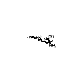 C[C@@](N)(CC/C=C(\F)CNCC=N)C(=O)O